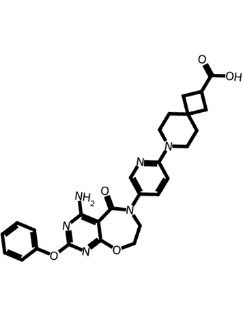 Nc1nc(Oc2ccccc2)nc2c1C(=O)N(c1ccc(N3CCC4(CC3)CC(C(=O)O)C4)nc1)CCO2